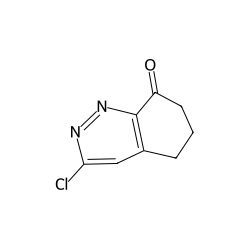 O=C1CCCc2cc(Cl)nnc21